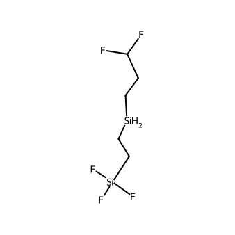 FC(F)CC[SiH2]CC[Si](F)(F)F